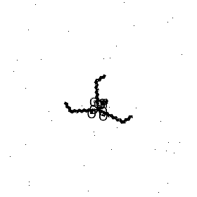 CCCC/C=C\CCCCCCCC(=O)OCC(COC(=O)CCCCCCC/C=C\CCCC)(COC(=O)CCCCCCC/C=C\CCCC)CO[Si](C)(C)C(C)(C)C